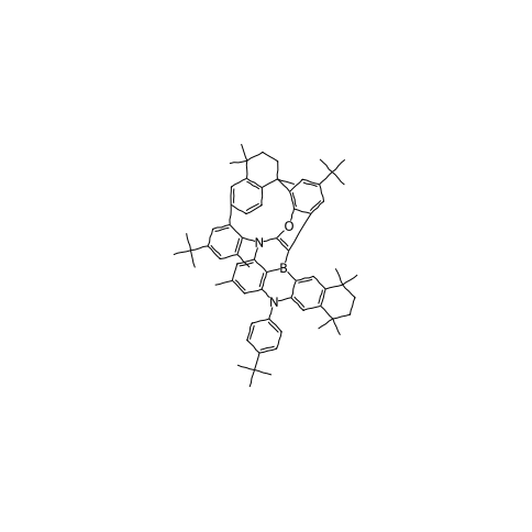 Cc1cc2c3c(c1)N1c4oc5c(cc(C(C)(C)C)cc5c4B3c3cc4c(cc3N2c2ccc(C(C)(C)C)cc2)C(C)(C)CCC4(C)C)C2(C)CCC(C)(C)c3cc(ccc32)-c2cc(C(C)(C)C)cc(C)c21